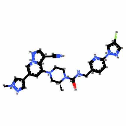 C[C@@H]1CN(c2cc(-c3cnn(C)c3)cn3ncc(C#N)c23)CCN1C(=O)NCc1ccc(-n2cc(F)cn2)nc1